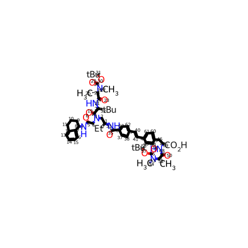 CCC(CN(CC(=O)NC1CCCc2ccccc21)C(=O)C(NC(=O)[C@H](C)N(C)C(=O)OC(C)(C)C)C(C)(C)C)NC(=O)c1ccc(/C=C/c2ccc(CC(NC(=O)[C@H](C)N(C)C(=O)OC(C)(C)C)C(=O)O)cc2)cc1